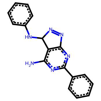 Nc1nc(-c2ccccc2)nc2c1C(Nc1ccccc1)N=N2